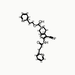 N#Cc1c(NC(=O)CCc2ccccn2)sc2c1CCN(C(O)OCCc1ccccn1)C2